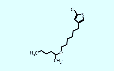 [CH2]C(CCCC)OCCCCCCc1csc(Cl)c1